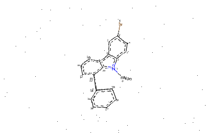 CCCCCCCCCn1c2ccc(Br)cc2c2cccc(-c3[c]cccc3)c21